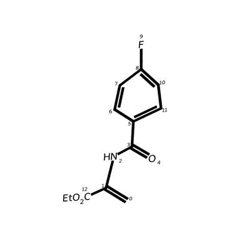 C=C(NC(=O)c1ccc(F)cc1)C(=O)OCC